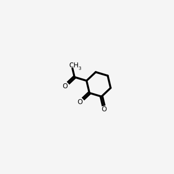 CC(=O)C1CCCC(=O)C1=O